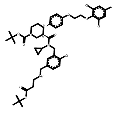 Cc1cc(Cl)c(OCCOc2ccc([C@H]3CCN(C(=O)OC(C)(C)C)C[C@@H]3C(=O)N(Cc3cc(CNCCC(=O)OC(C)(C)C)ccc3Cl)C3CC3)cc2)c(Cl)c1